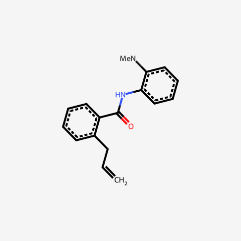 C=CCc1ccccc1C(=O)Nc1ccccc1NC